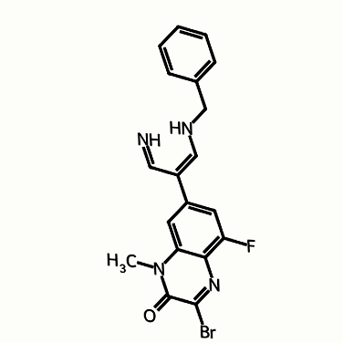 Cn1c(=O)c(Br)nc2c(F)cc(/C(C=N)=C/NCc3ccccc3)cc21